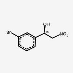 O=[N+]([O-])C[C@H](O)c1cccc(Br)c1